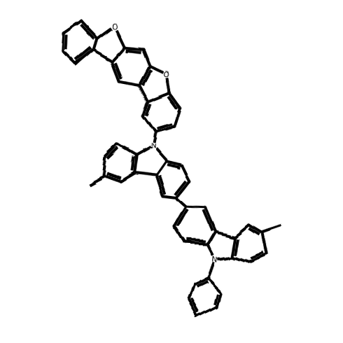 Cc1ccc2c(c1)c1cc(-c3ccc4c(c3)c3cc(C)ccc3n4-c3ccc4oc5cc6oc7ccccc7c6cc5c4c3)ccc1n2-c1ccccc1